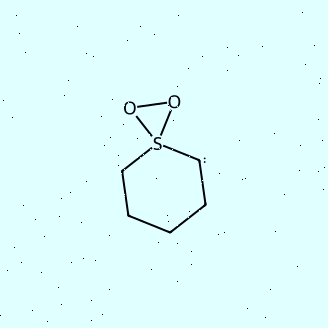 [C]1CCCCS12OO2